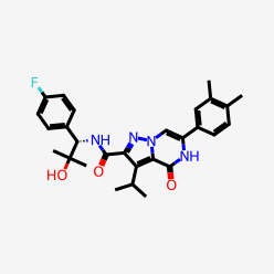 Cc1ccc(-c2cn3nc(C(=O)N[C@@H](c4ccc(F)cc4)C(C)(C)O)c(C(C)C)c3c(=O)[nH]2)cc1C